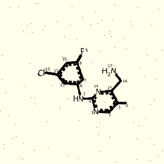 Cc1cnc(Nc2cc(F)cc(Cl)c2)nc1CN